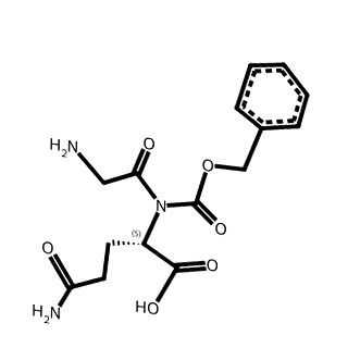 NCC(=O)N(C(=O)OCc1ccccc1)[C@@H](CCC(N)=O)C(=O)O